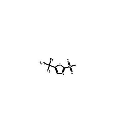 CCC(N)(CC)c1cnc(S(C)(=O)=O)s1